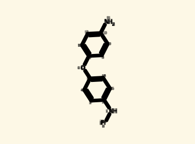 CC(C)Nc1ccc(Oc2ccc(N)cc2)cc1